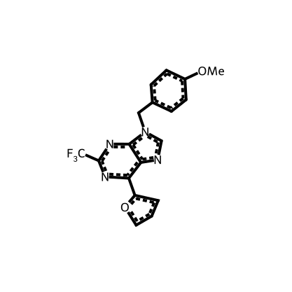 COc1ccc(Cn2cnc3c(-c4ccco4)nc(C(F)(F)F)nc32)cc1